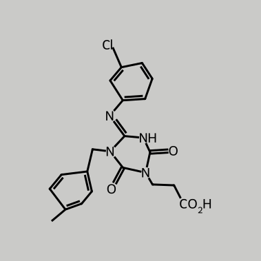 Cc1ccc(Cn2c(=O)n(CCC(=O)O)c(=O)[nH]/c2=N\c2cccc(Cl)c2)cc1